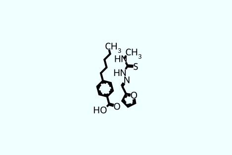 CCCCCc1ccc(C(=O)O)cc1.CNC(=S)NN=Cc1ccco1